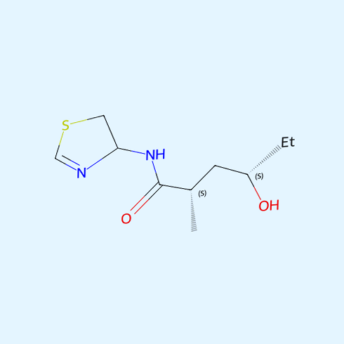 CC[C@H](O)C[C@H](C)C(=O)NC1CSC=N1